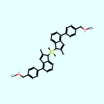 CC1=Cc2c(-c3ccc(COC(C)(C)C)cc3)cccc2C1S(C)(C)C1C(C)=Cc2c(-c3ccc(COC(C)(C)C)cc3)cccc21